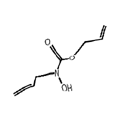 C=CCOC(=O)N(O)CC=C